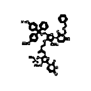 COc1ccc(C(OC[C@H]2O[C@@H](n3ccc(=O)n(COCc4ccccc4)c3=O)[C@H](OC)[C@@H]2OCCN(C)C[C@H]2O[C@@H](n3ccc(=O)[nH]c3=O)[C@H](OC)[C@@H]2O[Si](C)(C)C(C)(C)C)(c2ccccc2)c2ccc(OC)cc2)cc1